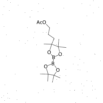 CC(=O)OCCCC1(C)OB(B2OC(C)(C)C(C)(C)O2)OC1(C)C